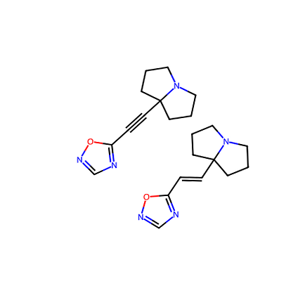 C(#CC12CCCN1CCC2)c1ncno1.C(=CC12CCCN1CCC2)c1ncno1